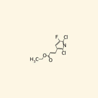 CCOC(=O)C=Cc1cc(F)c(Cl)nc1Cl